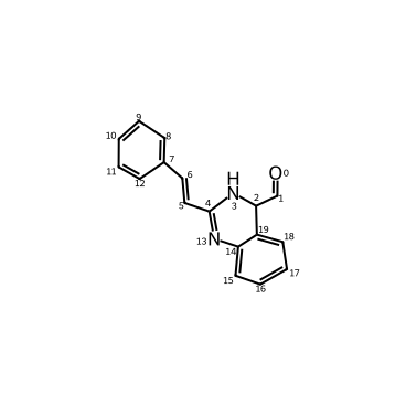 O=CC1NC(/C=C/c2ccccc2)=Nc2ccccc21